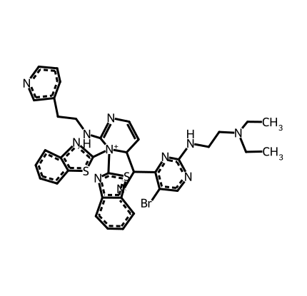 CCN(CC)CCNc1ncc(Br)c(C(C#N)C2C=CN=C(NCCc3cccnc3)[N+]2(c2nc3ccccc3s2)c2nc3ccccc3s2)n1